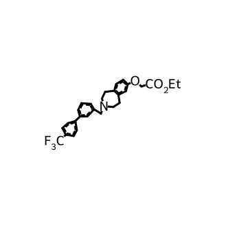 CCOC(=O)COc1ccc2c(c1)CCN(Cc1cccc(-c3ccc(C(F)(F)F)cc3)c1)CC2